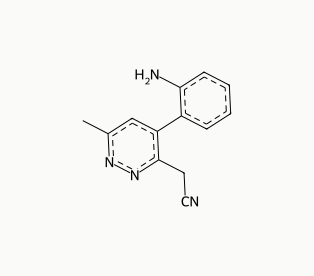 Cc1cc(-c2ccccc2N)c(CC#N)nn1